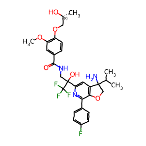 COc1cc(C(=O)NCC(O)(c2cc3c(c(-c4ccc(F)cc4)n2)OCC3(N)C(C)C)C(F)(F)F)ccc1OC[C@@H](C)O